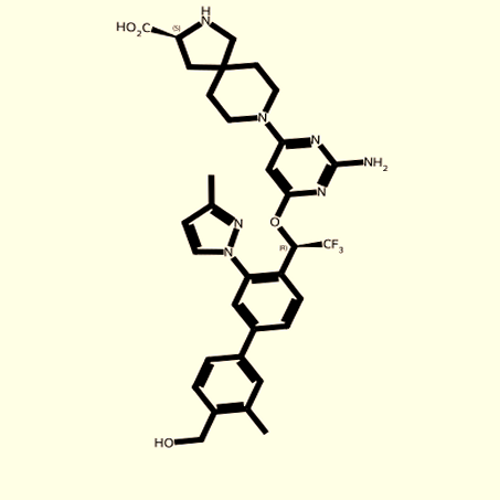 Cc1ccn(-c2cc(-c3ccc(CO)c(C)c3)ccc2[C@@H](Oc2cc(N3CCC4(CC3)CN[C@H](C(=O)O)C4)nc(N)n2)C(F)(F)F)n1